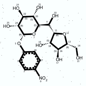 O=[N+]([O-])c1ccc(O[C@H]2O[C@H](C(O)[C@@H]3O[C@H](CO)[C@@H](O)[C@@H]3O)[C@@H](O)[C@H](O)[C@H]2O)cc1